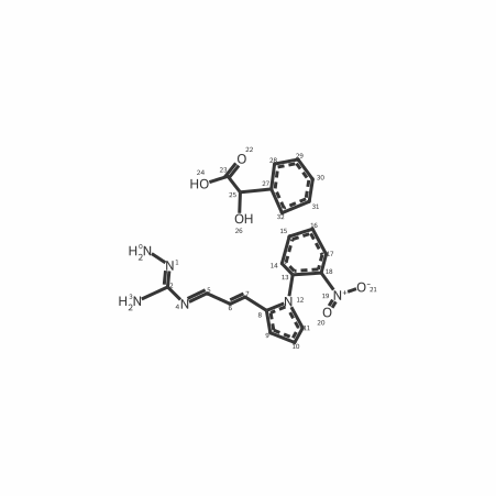 NN=C(N)N=CC=Cc1cccn1-c1ccccc1[N+](=O)[O-].O=C(O)C(O)c1ccccc1